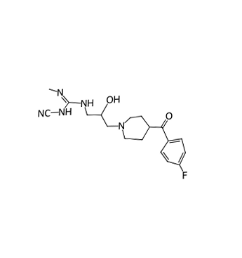 C/N=C(\NC#N)NCC(O)CN1CCC(C(=O)c2ccc(F)cc2)CC1